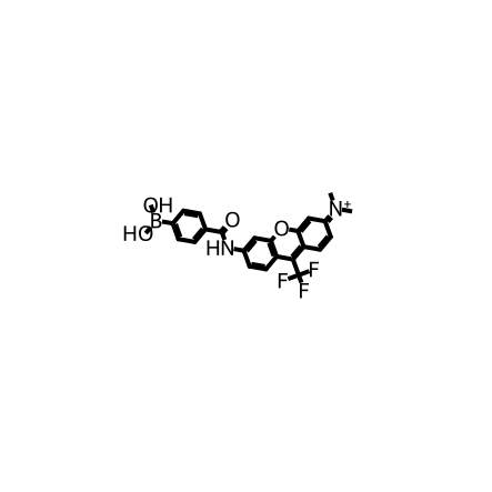 C[N+](C)=c1ccc2c(C(F)(F)F)c3ccc(NC(=O)c4ccc(B(O)O)cc4)cc3oc-2c1